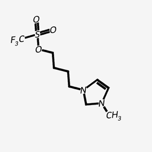 CN1C=CN(CCCCOS(=O)(=O)C(F)(F)F)C1